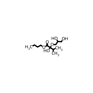 CCCCOC(=O)C(O)(OCC(O)CO)C(C)C